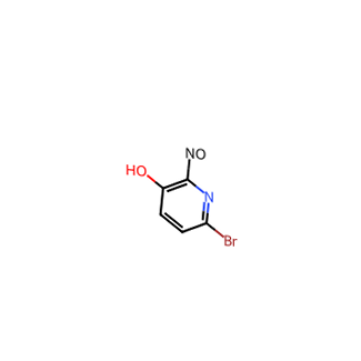 O=Nc1nc(Br)ccc1O